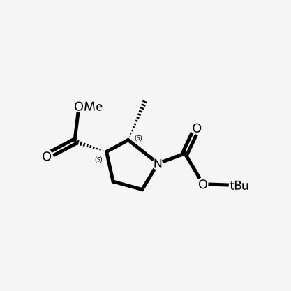 COC(=O)[C@H]1CCN(C(=O)OC(C)(C)C)[C@H]1C